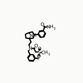 CS(=O)(=O)CC(=O)N(CCC12CCC(CC(c3cccc(C(N)=O)c3)C1)N2)Cc1cccc(F)c1